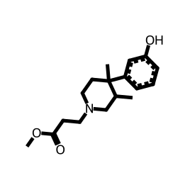 COC(=O)CCN1CCC(C)(c2cccc(O)c2)C(C)C1